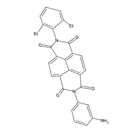 CCc1cccc(CC)c1N1C(=O)c2ccc3c4c(ccc(c24)C1=O)C(=O)N(c1cccc(N)c1)C3=O